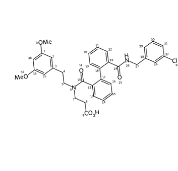 COc1cc(CCN(CCC(=O)O)C(=O)c2ccccc2-c2ccccc2C(=O)NCc2cccc(Cl)c2)cc(OC)c1